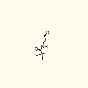 CC(C)(C)C(=O)NCC[C]=O